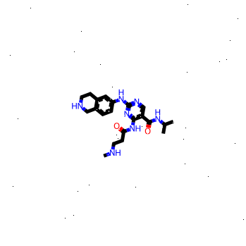 CNCCC(=O)Nc1nc(Nc2ccc3c(c2)CCNC3)ncc1C(=O)NC(C)C